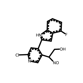 O=NC(CO)c1cnc(Cl)cc1-c1cc2c(F)cccc2[nH]1